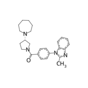 Cc1nc2ccccc2n1-c1ccc(C(=O)N2CC[C@H](N3CCCCCC3)C2)cc1